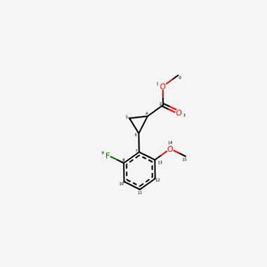 COC(=O)C1CC1c1c(F)cccc1OC